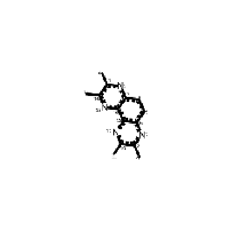 Cc1nc2ccc3nc(C)c(C)nc3c2nc1C